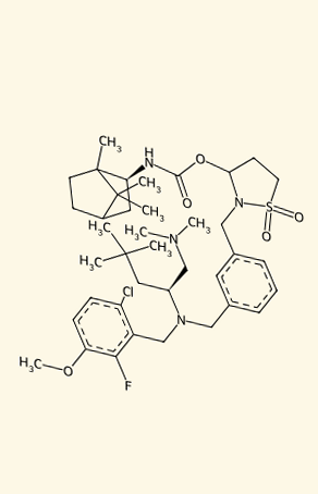 COc1ccc(Cl)c(CN(Cc2cccc(CN3C(OC(=O)N[C@H]4CC5CCC4(C)C5(C)C)CCS3(=O)=O)c2)[C@H](CN(C)C)CC(C)(C)C)c1F